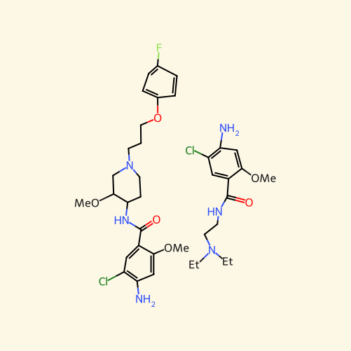 CCN(CC)CCNC(=O)c1cc(Cl)c(N)cc1OC.COc1cc(N)c(Cl)cc1C(=O)NC1CCN(CCCOc2ccc(F)cc2)CC1OC